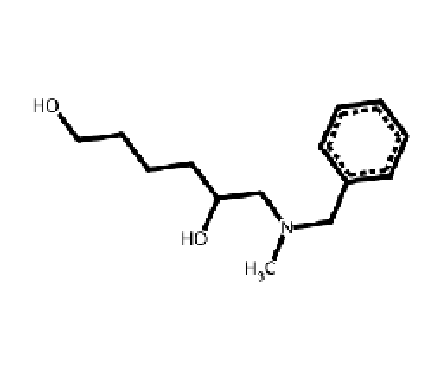 CN(Cc1ccccc1)CC(O)CCCCO